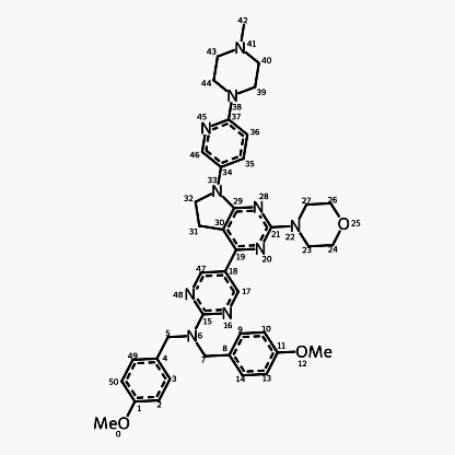 COc1ccc(CN(Cc2ccc(OC)cc2)c2ncc(-c3nc(N4CCOCC4)nc4c3CCN4c3ccc(N4CCN(C)CC4)nc3)cn2)cc1